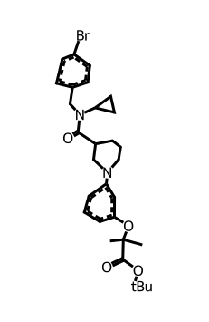 CC(C)(C)OC(=O)C(C)(C)Oc1cccc(N2CCCC(C(=O)N(Cc3ccc(Br)cc3)C3CC3)C2)c1